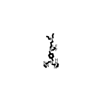 CCCN(CCC)CCCCN(Cc1ccc(CN(Cc2ncc[nH]2)Cc2nccn2C)cc1)CC(F)(F)F